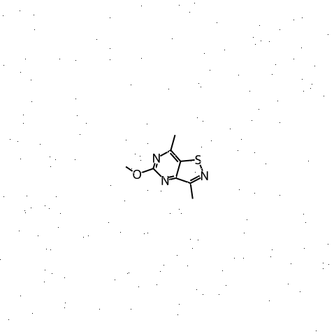 COc1nc(C)c2snc(C)c2n1